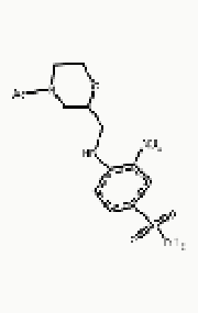 CC(=O)N1CCOC(CNc2ccc(S(N)(=O)=O)cc2[N+](=O)[O-])C1